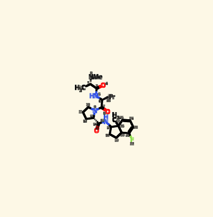 CN[C@@H](C)C(=O)N[C@H](C(=O)N1CCC[C@H]1C(=O)NC1CCC2C(F)=CC=CC12C)C(C)C